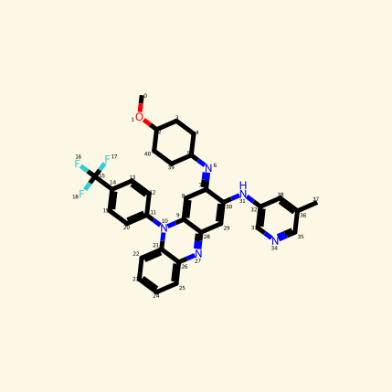 COC1CCC(/N=c2\cc3n(-c4ccc(C(F)(F)F)cc4)c4ccccc4nc-3cc2Nc2cncc(C)c2)CC1